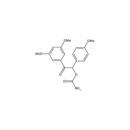 COc1ccc(C(OC(N)=O)C(=O)c2cc(OC)cc(OC)c2)cc1